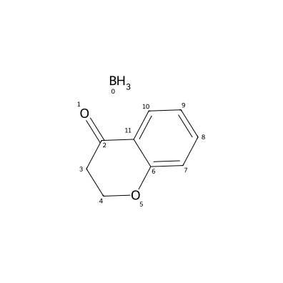 B.O=C1CCOc2ccccc21